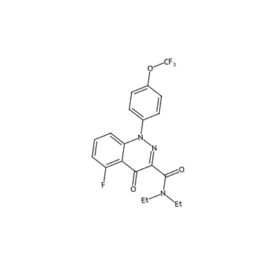 CCN(CC)C(=O)c1nn(-c2ccc(OC(F)(F)F)cc2)c2cccc(F)c2c1=O